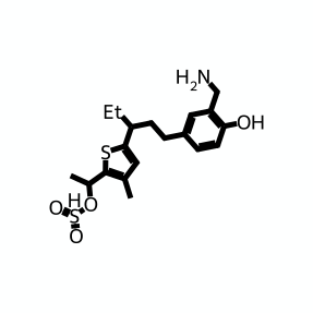 CCC(CCc1ccc(O)c(CN)c1)c1cc(C)c(C(C)O[SH](=O)=O)s1